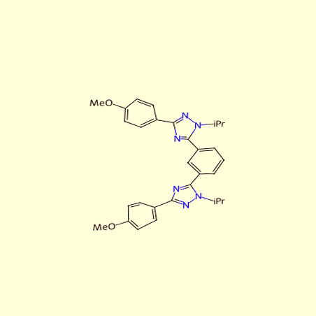 COc1ccc(-c2nc(-c3cccc(-c4nc(-c5ccc(OC)cc5)nn4C(C)C)c3)n(C(C)C)n2)cc1